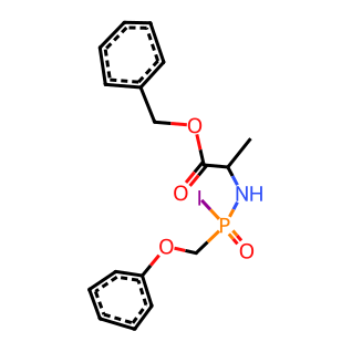 CC(NP(=O)(I)COc1ccccc1)C(=O)OCc1ccccc1